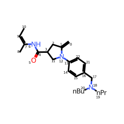 C=C1CC(C(=O)N/C(C)=C\C)CN1c1ccc(CN(CCC)CCCC)cc1